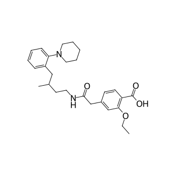 CCOc1cc(CC(=O)NCCC(C)Cc2ccccc2N2CCCCC2)ccc1C(=O)O